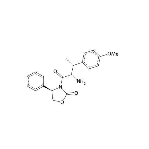 COc1ccc([C@@H](C)[C@H](N)C(=O)N2C(=O)OC[C@H]2c2ccccc2)cc1